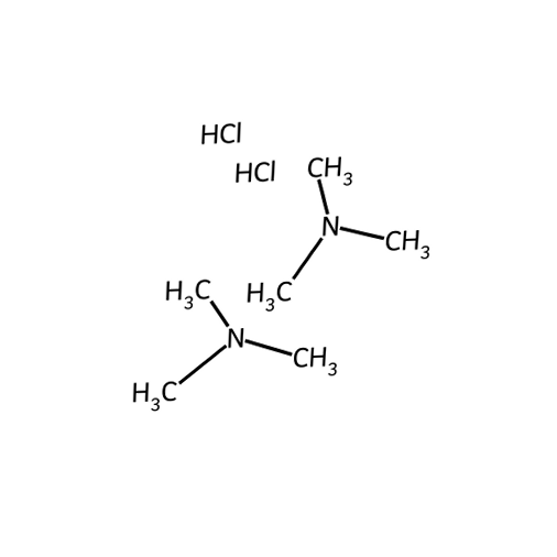 CN(C)C.CN(C)C.Cl.Cl